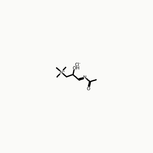 CC(=O)N=CC(O)C[N+](C)(C)C.[Cl-]